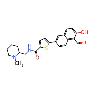 CN1CCCCC1CNC(=O)c1ccc(-c2ccc3c(C=O)c(O)ccc3c2)s1